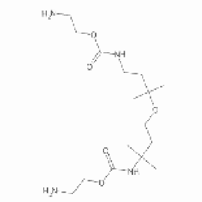 CC(C)(CCOC(C)(C)CCNC(=O)OCCN)NC(=O)OCCN